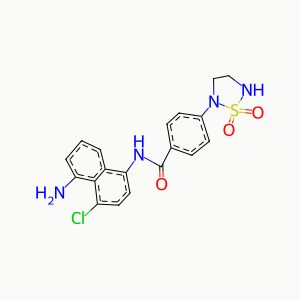 Nc1cccc2c(NC(=O)c3ccc(N4CCNS4(=O)=O)cc3)ccc(Cl)c12